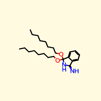 CCCCCCCCOC1(OCCCCCCCC)NC(=N)c2ccccc21